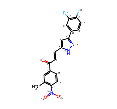 Cc1cc(C(=O)/C=C/c2cc(-c3ccc(F)c(F)c3)n[nH]2)ccc1[N+](=O)[O-]